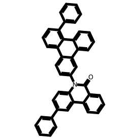 O=c1c2ccccc2c2cc(-c3ccccc3)ccc2n1-c1ccc2c(c1)c1ccccc1c1c(-c3ccccc3)cccc21